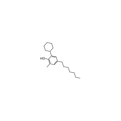 CCCCCCCc1cc(C)c(O)c(C2CCCCC2)c1